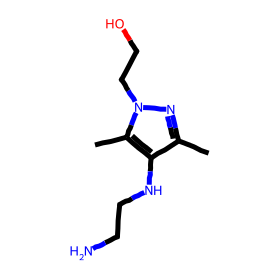 Cc1nn(CCO)c(C)c1NCCN